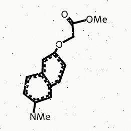 CNc1ccc2cc(OCC(=O)OC)ccc2c1